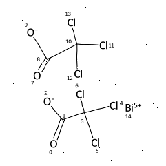 O=C([O-])C(Cl)(Cl)Cl.O=C([O-])C(Cl)(Cl)Cl.[Bi+5]